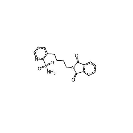 NS(=O)(=O)c1ncccc1CCCCN1C(=O)c2ccccc2C1=O